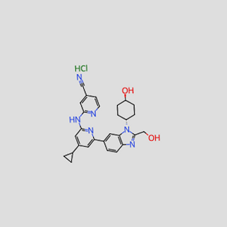 Cl.N#Cc1ccnc(Nc2cc(C3CC3)cc(-c3ccc4nc(CO)n([C@H]5CC[C@H](O)CC5)c4c3)n2)c1